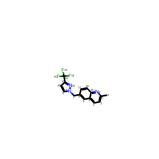 Cc1ccc2cc(Cn3ccc(C(F)(F)F)n3)ccc2n1